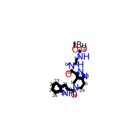 CN(CCNC(=O)OC(C)(C)C)C(=O)c1[nH]nc2c1CN(C(=O)c1cc3ccccc3[nH]1)CC2